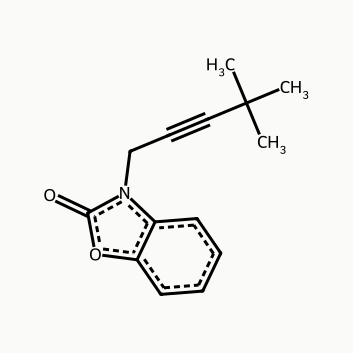 CC(C)(C)C#CCn1c(=O)oc2ccccc21